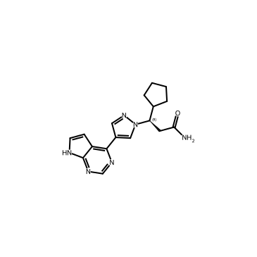 NC(=O)C[C@H](C1CCCC1)n1cc(-c2ncnc3[nH]ccc23)cn1